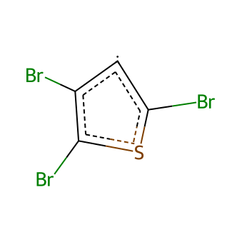 Brc1[c]c(Br)c(Br)s1